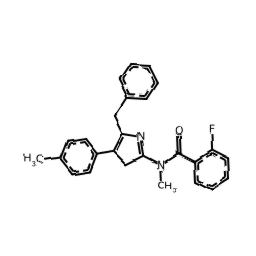 Cc1ccc(C2=C(Cc3ccccc3)N=C(N(C)C(=O)c3ccccc3F)C2)cc1